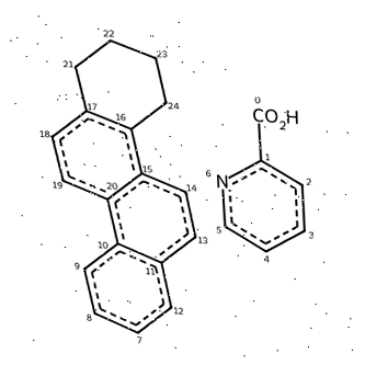 O=C(O)c1ccccn1.c1ccc2c(c1)ccc1c3c(ccc12)CCCC3